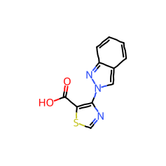 O=C(O)c1scnc1-n1cc2ccccc2n1